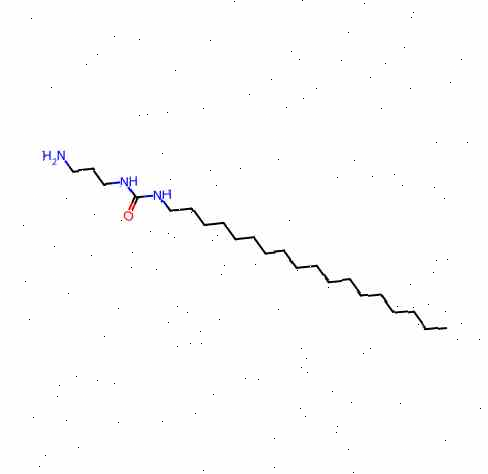 CCCCCCCCCCCCCCCCCCNC(=O)NCCCN